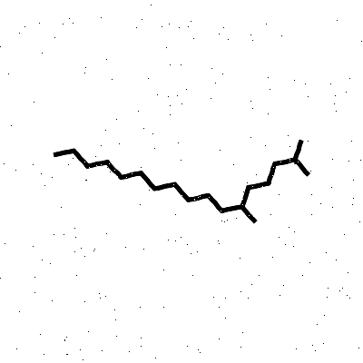 CCCCCCCCCCCC(C)CCC[C](C)C